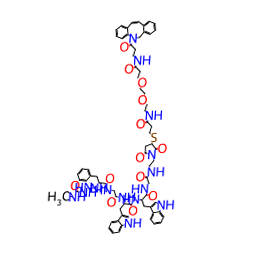 CNC(=O)NNNC(Cc1ccccc1)C(=O)NCC(=O)NC(Cc1c[nH]c2ccccc12)C(=O)NC(Cc1c[nH]c2ccccc12)C(=O)NCC(=O)NCCN1C(=O)CC(SCCC(=O)NCCOCCOCCC(=O)NCCC(=O)N2Cc3ccccc3/C=C\c3ccccc32)C1=O